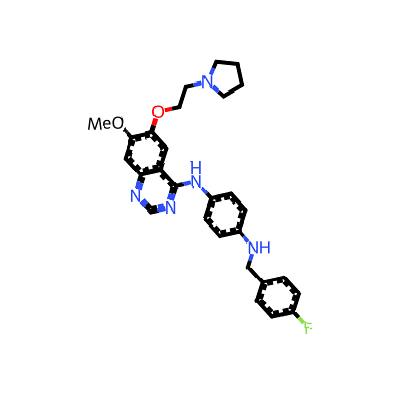 COc1cc2ncnc(Nc3ccc(NCc4ccc(F)cc4)cc3)c2cc1OCCN1CCCC1